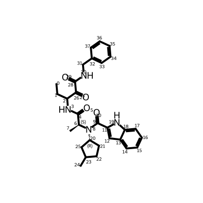 CCC(NC(=O)[C@H](C)N(C(=O)c1cc2ccccc2[nH]1)[C@@H]1CCC(C)C1)C(=O)C(=O)NCc1ccccc1